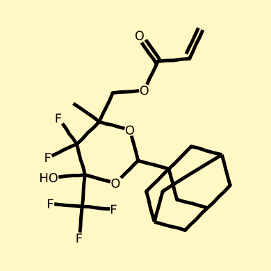 C=CC(=O)OCC1(C)OC(C23CC4CC(CC(C4)C2)C3)OC(O)(C(F)(F)F)C1(F)F